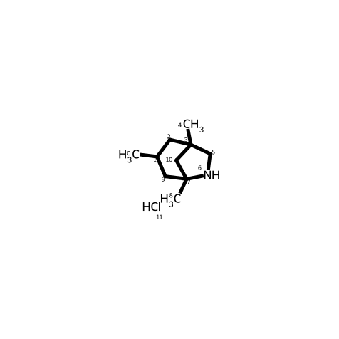 CC1CC2(C)CNC(C)(C1)C2.Cl